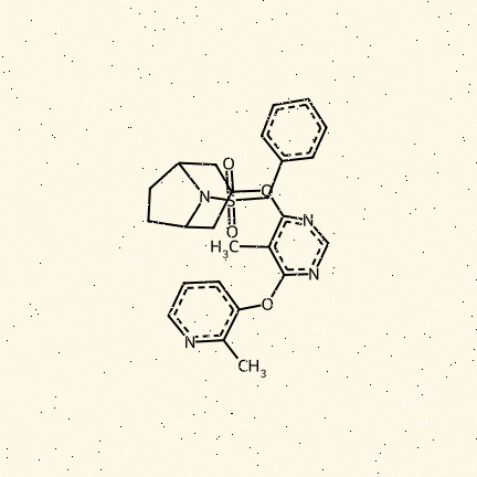 Cc1ncccc1Oc1ncnc(OC2CC3CCC(C2)N3S(=O)(=O)Cc2ccccc2)c1C